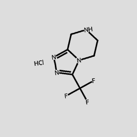 Cl.FC(F)(F)c1nnc2n1CCNC2